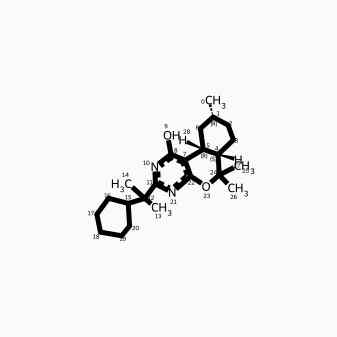 C[C@@H]1CC[C@H]2[C@@H](C1)c1c(O)nc(C(C)(C)C3CCCCC3)nc1OC2(C)C